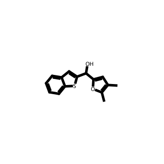 Cc1cc(C(O)c2cc3ccccc3s2)oc1C